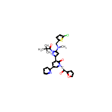 CN(Cc1ccc(Cl)s1)c1cc(-c2cc(-c3ccccn3)cn(CC(=O)c3ccco3)c2=O)nn1C(=O)C(C)(C)C